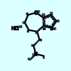 CN(C)CCC1CCCOc2ccsc21.Cl